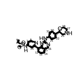 C=CS(=O)(=O)Nc1ccnc(-c2cccc3cnc(Nc4ccc(C5CNCCO5)cc4)nc23)c1